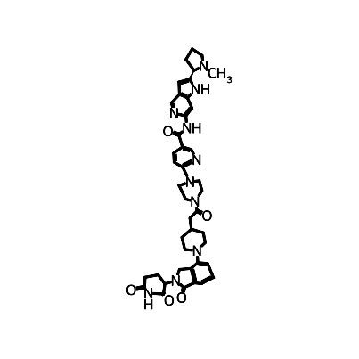 CN1CCC[C@@H]1c1cc2cnc(NC(=O)c3ccc(N4CCN(C(=O)CC5CCN(c6cccc7c6CN(C6CCC(=O)NC6=O)C7=O)CC5)CC4)nc3)cc2[nH]1